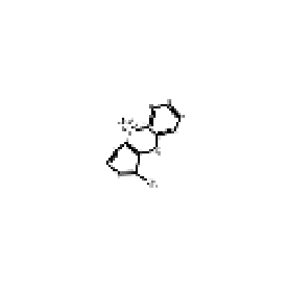 Cc1ccccc1[N-]c1ccccc1C.[Na+]